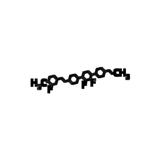 CCCC1CCC(C2CCC(C3CCC(CCC4CCC(C)C(F)C4)CC3)C(F)C2F)CC1